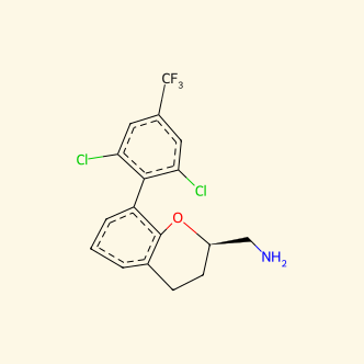 NC[C@H]1CCc2cccc(-c3c(Cl)cc(C(F)(F)F)cc3Cl)c2O1